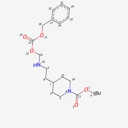 CC(C)(C)OC(=O)N1CCC(CCNCOC(=O)OCc2ccccc2)CC1